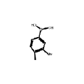 Cc1ccc(B(O)O)cc1C(C)C